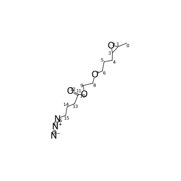 CC1OC1CCCOCCOC(=O)CCCN=[N+]=[N-]